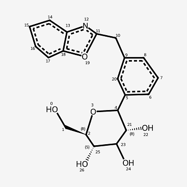 OC[C@H]1OC(c2cccc(Cc3nc4ccccc4o3)c2)[C@H](O)C(O)[C@@H]1O